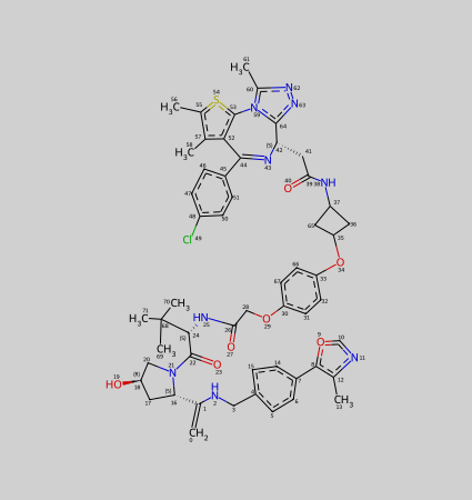 C=C(NCc1ccc(-c2ocnc2C)cc1)[C@@H]1C[C@@H](O)CN1C(=O)[C@@H](NC(=O)COc1ccc(OC2CC(NC(=O)C[C@@H]3N=C(c4ccc(Cl)cc4)c4c(sc(C)c4C)-n4c(C)nnc43)C2)cc1)C(C)(C)C